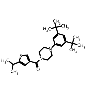 CC(C)c1cc(C(=O)N2CCN(c3cc(C(C)(C)C)cc(C(C)(C)C)c3)CC2)cs1